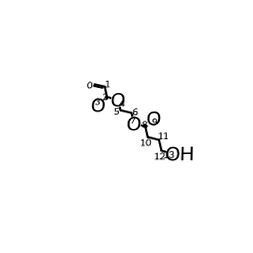 C=CC(=O)OCCOC(=O)CCCO